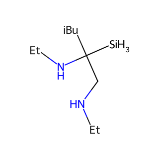 CCNCC([SiH3])(NCC)C(C)CC